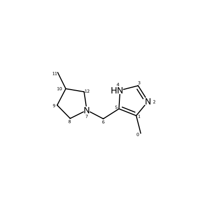 Cc1nc[nH]c1CN1CCC(C)C1